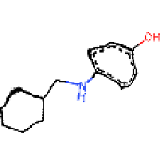 Oc1ccc(NCC2CCCCC2)cc1